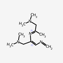 C=N/C=C(CN(C)C)\N=C(/C)CN(C)C